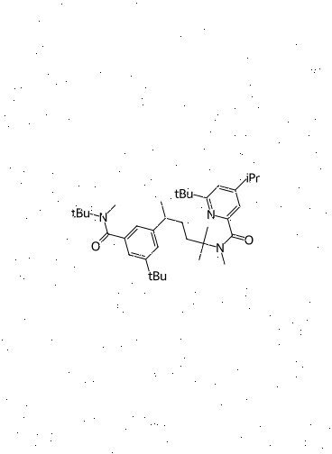 CC(C)c1cc(C(=O)N(C)C(C)(C)CCC(C)c2cc(C(=O)N(C)C(C)(C)C)cc(C(C)(C)C)c2)nc(C(C)(C)C)c1